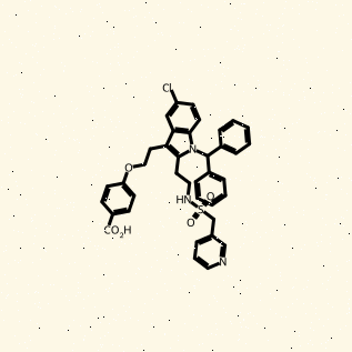 O=C(O)c1ccc(OCCc2c(CCNS(=O)(=O)Cc3cccnc3)n(C(c3ccccc3)c3ccccc3)c3ccc(Cl)cc23)cc1